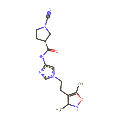 CC1=C(CCn2cnc(NC(=O)[C@H]3CCN(C#N)C3)c2)C(C)NO1